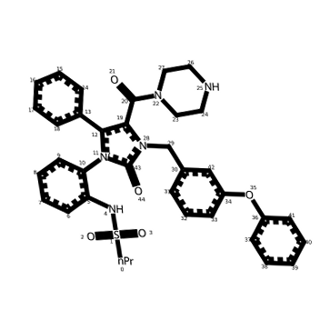 CCCS(=O)(=O)Nc1ccccc1-n1c(-c2ccccc2)c(C(=O)N2CCNCC2)n(Cc2cccc(Oc3ccccc3)c2)c1=O